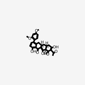 COc1ccc(-c2ccc(O)c3c2C[C@H]2C[C@H]4CC(O)=C(C(C)=O)C(=O)[C@@]4(O)C(O)=C2C3=O)c(OC)c1